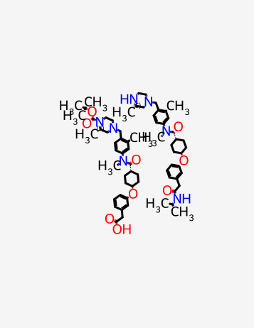 Cc1cc(N(C)C(=O)[C@H]2CC[C@H](Oc3cccc(CC(=O)NC(C)C)c3)CC2)ccc1CN1CCN[C@@H](C)C1.Cc1cc(N(C)C(=O)[C@H]2CC[C@H](Oc3cccc(CC(=O)O)c3)CC2)ccc1CN1CCN(C(=O)OC(C)(C)C)[C@@H](C)C1